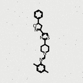 Cc1ccc(C)c(/N=C/N2CCC(c3nc(C4=NOC(c5ccccc5)C4)cs3)CC2)c1